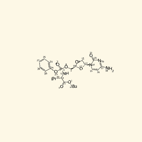 CCC(C)OC(=O)C(NP(=O)(OC[C@H]1OC[C@@H](n2ccc(N)nc2=O)O1)Oc1ccccc1)C(C)C